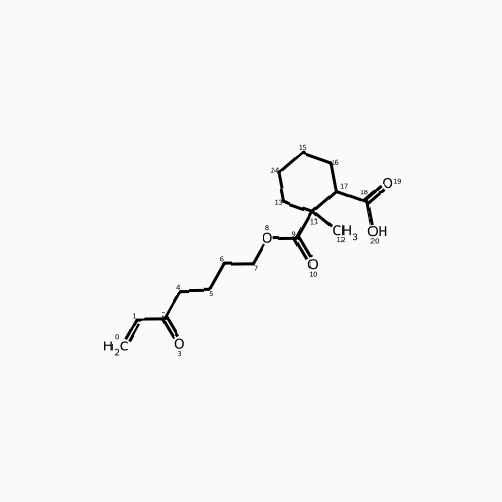 C=CC(=O)CCCCOC(=O)C1(C)CCCCC1C(=O)O